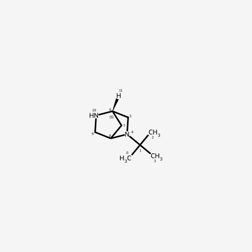 CC(C)(C)N1C[C@@H]2CC1CN2